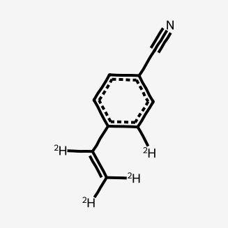 [2H]C([2H])=C([2H])c1ccc(C#N)cc1[2H]